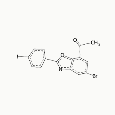 CC(=O)c1cc(Br)cc2nc(-c3ccc(I)cc3)oc12